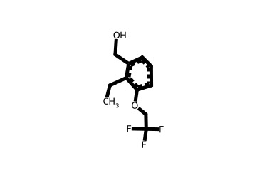 CCc1c(CO)cccc1OCC(F)(F)F